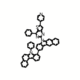 c1ccc(-c2nc(-n3c4ccc(-c5cccc6c7c8ccccc8ccc7n(-c7ccccc7)c56)cc4c4cc5ccccc5cc43)nc3cc(-c4ccncc4)sc23)cc1